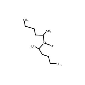 CCCCC(C)[S+]([O-])C(C)CCCC